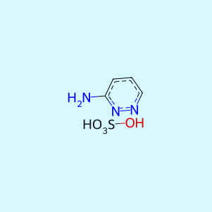 Nc1cccnn1.O=S(=O)(O)O